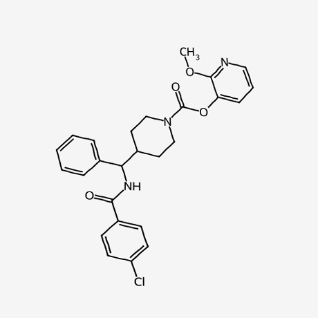 COc1ncccc1OC(=O)N1CCC(C(NC(=O)c2ccc(Cl)cc2)c2ccccc2)CC1